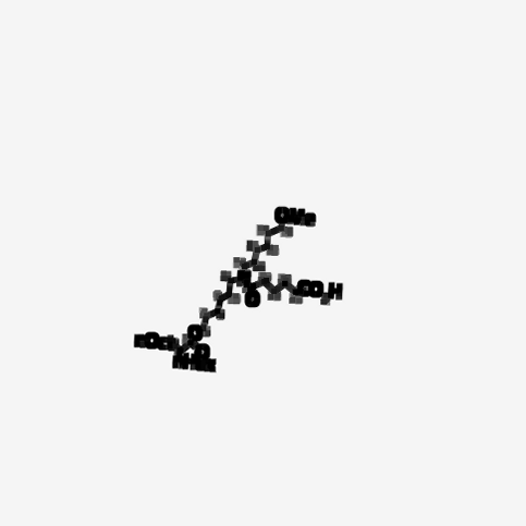 CCCCCCCCC(CCCCCC)C(=O)OCCCCCCN(CCCCCCOC)C(=O)CCCCC(=O)O